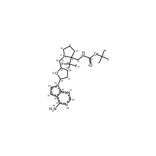 CC(C)(C)OC(=O)NCC1(C(F)(F)F)CCCN1CC1CCC(n2ccc3c(N)ncnc32)O1